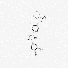 CC1(C)C(=O)N(c2ccc(C#N)c(C(F)(F)F)c2)C(=S)N1c1ccc(OCC2(N3CCNCC3)CC2)c(F)c1